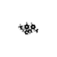 CC(C)Oc1ccc(F)cc1[C@H]1CO[C@]2(CC[C@H](CNCC(F)(F)F)[C@H]2c2ccc(F)cc2)C1